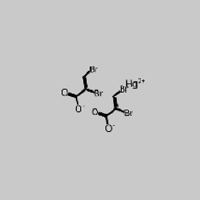 O=C([O-])C(Br)=CBr.O=C([O-])C(Br)=CBr.[Hg+2]